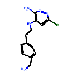 NCc1ccc(CCNc2cc(Cl)nnc2N)cc1